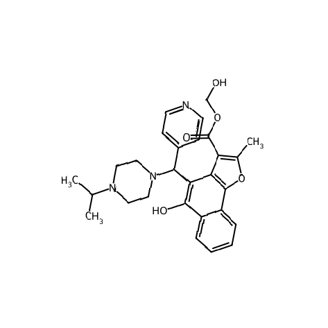 Cc1oc2c(c1C(=O)OCO)c(C(c1ccncc1)N1CCN(C(C)C)CC1)c(O)c1ccccc12